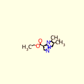 CCOC(=O)c1cnn2cc(C)c(C)nc12